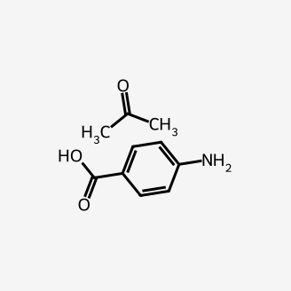 CC(C)=O.Nc1ccc(C(=O)O)cc1